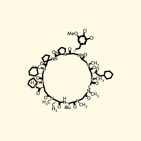 CC[C@H](C)[C@@H]1NC(=O)[C@H](C)N(C)C(=O)C[C@@H](C(=O)N2CCCCC2)N(C)C(=O)[C@H](C2CCCCC2)N(C)C(=O)C2(CCCC2)NC(=O)[C@@H]2CCCN2C(=O)[C@H](CCc2cc(Cl)c(Cl)c(OC)c2)NC(=O)CN(C)C(=O)[C@H](C(=O)CC2CCCCC2)N(C)C(=O)CN(C)C(=O)CN(C)C1=O